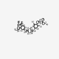 CCOC(=O)C(C)(C)Oc1c(C)cc(CN2CCN(Cc3ccc(C(F)(F)F)c(OCC)c3)CC2)cc1C